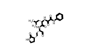 CC(C)C[C@H](NC(=O)C(=O)Nc1ccccc1)C(=O)N[C@H](C=O)CC[C@@H]1CCNC1=O